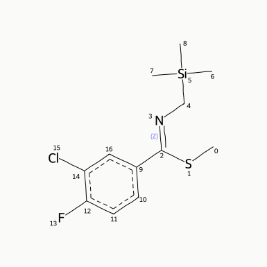 CS/C(=N\C[Si](C)(C)C)c1ccc(F)c(Cl)c1